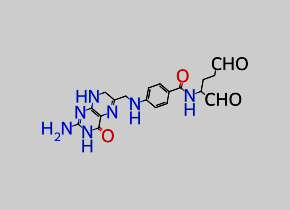 Nc1nc2c(c(=O)[nH]1)N=C(CNc1ccc(C(=O)NC(C=O)CCC=O)cc1)CN2